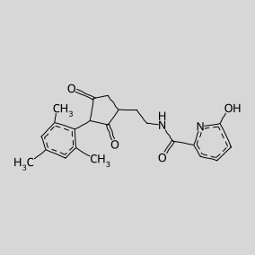 Cc1cc(C)c(C2C(=O)CC(CCNC(=O)c3cccc(O)n3)C2=O)c(C)c1